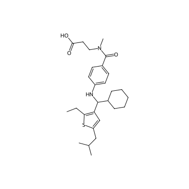 CCc1sc(CC(C)C)cc1C(Nc1ccc(C(=O)N(C)CCC(=O)O)cc1)C1CCCCC1